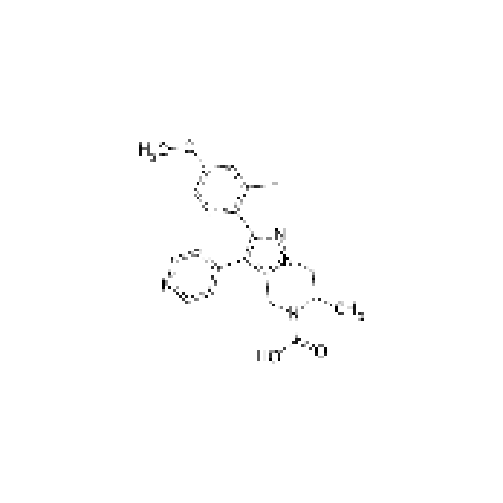 COc1ccc(-c2nn3c(c2-c2ccncc2)CN(C(=O)O)C(C)C3)c(F)c1